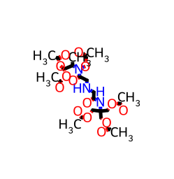 CC(=O)OCC(COC(C)=O)(COC(C)=O)NC(=O)CNCC(=O)N(OC(C)=O)C(C)C(OC(C)=O)OC(C)=O